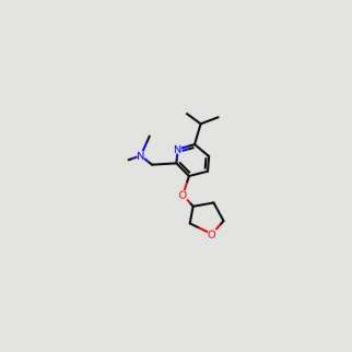 CC(C)c1ccc(OC2CCOC2)c(CN(C)C)n1